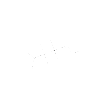 C/C=C/C(C)(C)C(C)(C)N(C)C